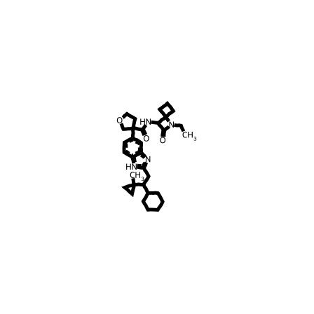 CCN1C(=O)C(NC(=O)C2(c3ccc4[nH]c(CC(C5CCCCC5)C5(C)CC5)nc4c3)CCOC2)C12CCC2